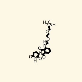 CNCCOCCOCCNc1cccc2c1C(=O)N(C1CCC(=O)NC1=O)C2=O